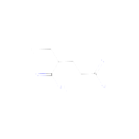 [CH2]CC(CCC(=N)N)C(=N)N